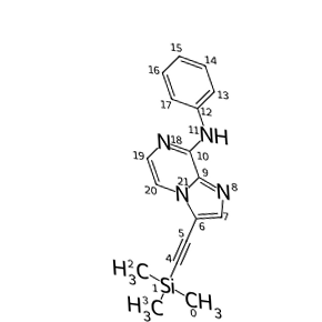 C[Si](C)(C)C#Cc1cnc2c(Nc3ccccc3)nccn12